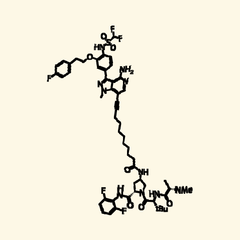 CN[C@@H](C)C(=O)N[C@H](C(=O)N1CC(NC(=O)CCCCCCCCC#Cc2cnc(N)c3c(-c4ccc(NS(=O)(=O)C(F)F)c(OCCc5ccc(F)cc5)c4)nn(C)c23)C[C@H]1C(=O)Nc1c(F)cccc1F)C(C)(C)C